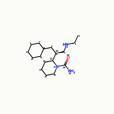 CCNC[C@H](CC1CCCCC1)C1CCCCN1C(N)=O